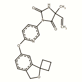 C=CC1(C)NC(=O)N(c2ccc(Oc3ccc4c(c3)C3(CCC3)OC4)nc2)C1=O